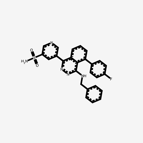 NS(=O)(=O)c1cncc(-c2nnc(NCc3ccccc3)c3c(-c4ccc(F)cc4)cccc23)c1